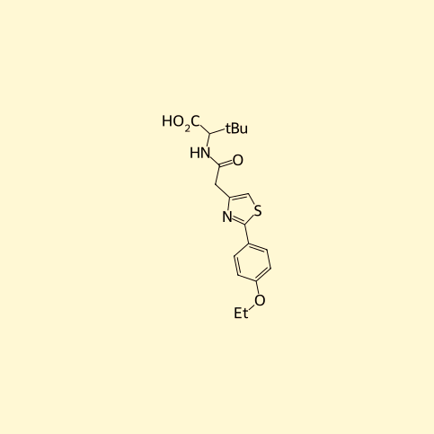 CCOc1ccc(-c2nc(CC(=O)NC(C(=O)O)C(C)(C)C)cs2)cc1